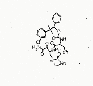 CC(C)CC(NC(=O)OC(c1ccccc1)C(C)(C)c1cccc(Cl)c1)C(=O)NC(C[C@@H]1CCNC1=O)C(=O)C(N)=O